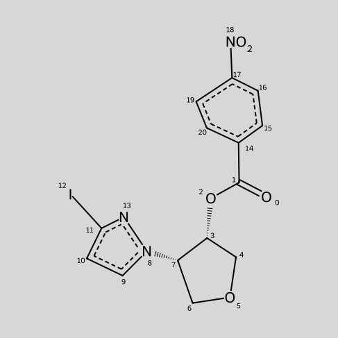 O=C(O[C@@H]1COC[C@@H]1n1ccc(I)n1)c1ccc([N+](=O)[O-])cc1